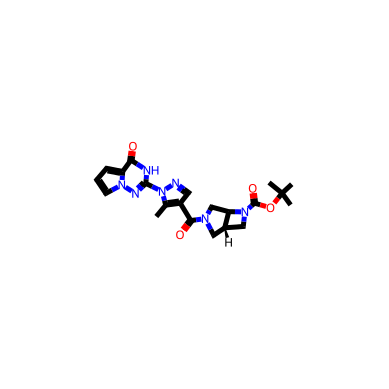 Cc1c(C(=O)N2CC3[C@@H](C2)CN3C(=O)OC(C)(C)C)cnn1-c1nn2cccc2c(=O)[nH]1